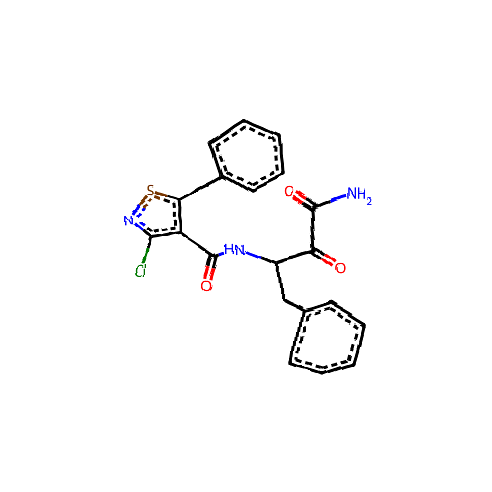 NC(=O)C(=O)C(Cc1ccccc1)NC(=O)c1c(Cl)nsc1-c1ccccc1